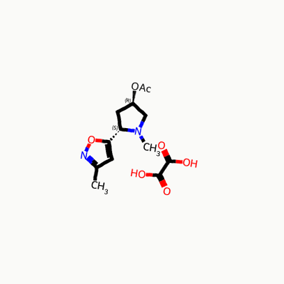 CC(=O)O[C@@H]1C[C@@H](c2cc(C)no2)N(C)C1.O=C(O)C(=O)O